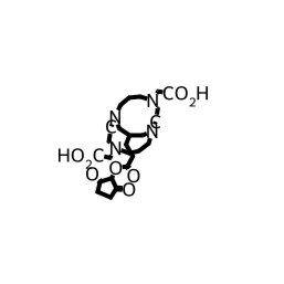 O=C(O)CN1CCCN2CCN(CC(=O)O)CCCN(CC1)CC(CCC(=O)OC1C(=O)CCC1=O)C2